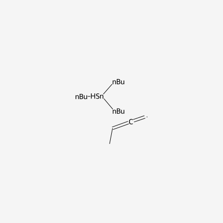 CCC[CH2][SnH]([CH2]CCC)[CH2]CCC.[CH]=C=CC